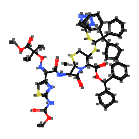 CC(C)(C)OC(=O)Nc1nc(/C(=N/OC(C)(C)C(=O)OC(C)(C)C)C(=O)N[C@@H]2C(=O)N3C(C(=O)OC(c4ccccc4)c4ccccc4)=C(SC(Sc4c[nH]nn4)C(c4ccccc4)(c4ccccc4)c4ccccc4)CS[C@H]23)cs1